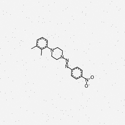 Cc1cccc(N2CCN(N=Nc3ccc([N+](=O)[O-])cc3)CC2)c1C